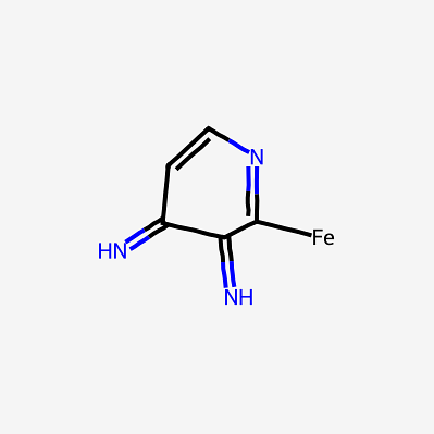 N=C1C=CN=[C]([Fe])C1=N